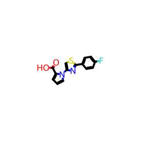 O=C(O)c1cccn1-c1csc(-c2ccc(F)cc2)n1